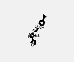 CCn1c(SCC(=O)Nc2ccc(C3CC3)cc2)nnc1-c1ccoc1